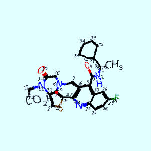 C[C@H](NC(=O)c1c(CN2CCN(CC(=O)O)C(=O)C2)c(-c2cccs2)nc2ccc(F)cc12)C1CCCCC1